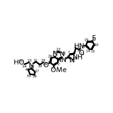 COc1cc2c(Nc3cc(CC(=O)Nc4cccc(F)c4)[nH]n3)ncnc2cc1OCCCN(CCO)C1CCCC1